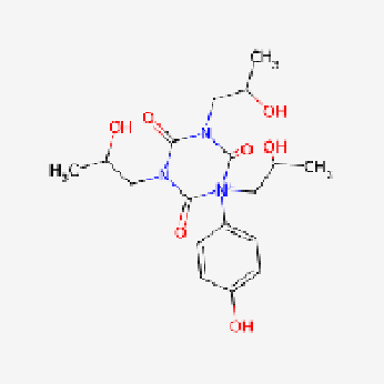 CC(O)CN1C(=O)N(CC(C)O)C(=O)[N+](CC(C)O)(c2ccc(O)cc2)C1=O